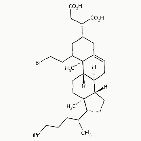 CC(C)CCC[C@@H](C)[C@H]1CC[C@H]2[C@@H]3CC=C4C[C@@H](C(CC(=O)O)C(=O)O)CC(CCBr)[C@]4(C)[C@H]3CC[C@]12C